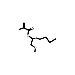 C=C(C)C(=O)OC(COC)OCCCC